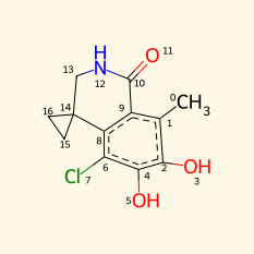 Cc1c(O)c(O)c(Cl)c2c1C(=O)NCC21CC1